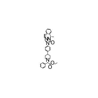 CCOC(=O)[C@H](c1ccccc1)N1CCC(c2ccc(-n3cnn([C@H](C)c4ccccc4F)c3=O)cc2)CC1